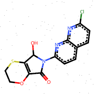 O=C1C2=C(SCCO2)C(O)N1c1ccc2ccc(Cl)nc2n1